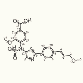 COC/C=C/c1ccc(-c2ncc(N(c3ccc(C(=O)O)cc3OC)[SH](=O)=O)s2)cc1